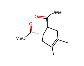 COC(=O)[C@H]1CC(C)=C(C)C[C@@H]1C(=O)OC